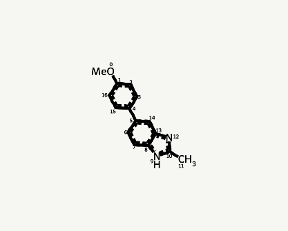 COc1ccc(-c2ccc3[nH]c(C)nc3c2)cc1